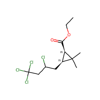 CCOC(=O)[C@@H]1[C@H](CC(Cl)CC(Cl)(Cl)Cl)C1(C)C